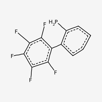 Fc1c(F)c(F)c(-c2ccccc2P)c(F)c1F